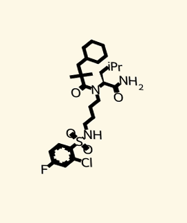 CC(C)C[C@@H](C(N)=O)N(CCCCNS(=O)(=O)c1ccc(F)cc1Cl)C(=O)C(C)(C)CC1CCCCC1